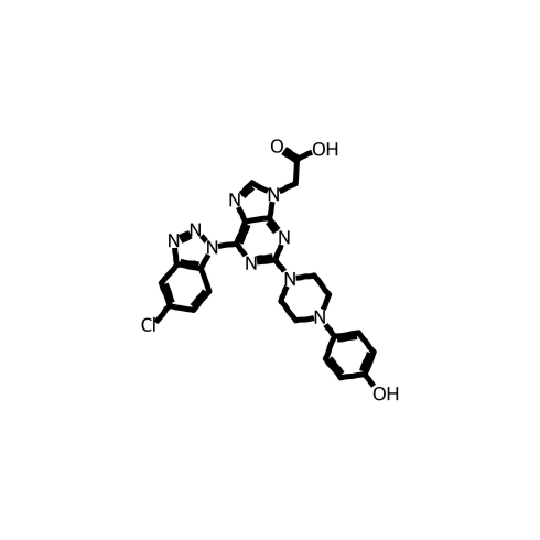 O=C(O)Cn1cnc2c(-n3nnc4cc(Cl)ccc43)nc(N3CCN(c4ccc(O)cc4)CC3)nc21